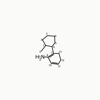 CC1CCCCC1C1=C(N)C=CCC1